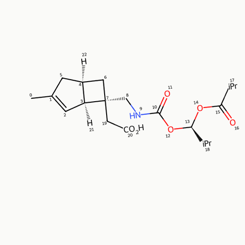 CC1=C[C@H]2[C@@H](C1)C[C@@]2(CNC(=O)O[C@@H](OC(=O)C(C)C)C(C)C)CC(=O)O